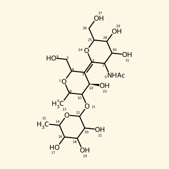 CC(=O)NC1/C(=C2/C(CO)OC(C)C(OC3OC(C)C(O)C(O)C3O)[C@@H]2O)OC(CO)C(O)C1O